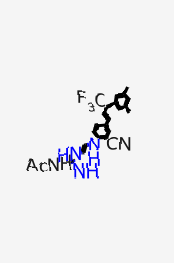 CC(=O)NC(=N)N/C=C/Nc1ccc(/C=C/C(c2cc(C)cc(C)c2)C(F)(F)F)cc1C#N